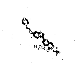 COc1cc(-c2cnc3cc(OCCN4CCOCC4)ccn23)cc2ccn(CC(F)(F)F)c(=O)c12